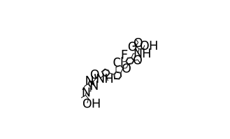 COC(=O)C(CO)NCc1c(OC)cc(OC2CCc3c(-c4cccc(NC(=O)c5nc6c(n5C)CCN(C(C)CO)C6)c4C)cccc32)c(Cl)c1F